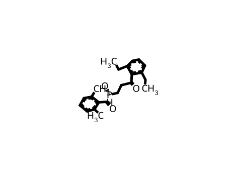 CCc1cccc(CC)c1C(=O)CC[PH](=O)C(=O)c1c(C)cccc1C